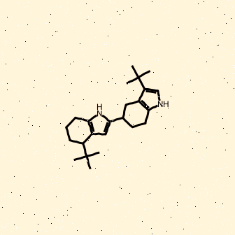 CC(C)(C)c1c[nH]c2c1CC(c1cc3c([nH]1)CCCC3C(C)(C)C)CC2